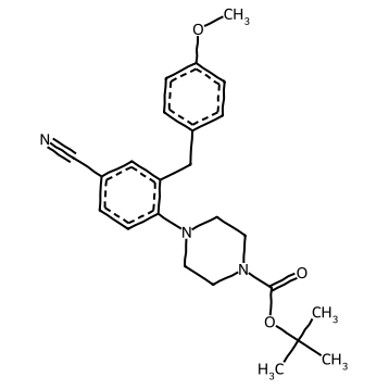 COc1ccc(Cc2cc(C#N)ccc2N2CCN(C(=O)OC(C)(C)C)CC2)cc1